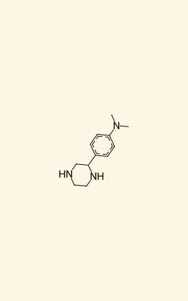 CN(C)c1ccc(C2CNCCN2)cc1